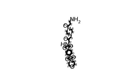 NCCC(=O)N1CCN(CC(=O)CNS(=O)(=O)c2ccc(S(=O)(=O)N3CCOCC3)cc2)CC1